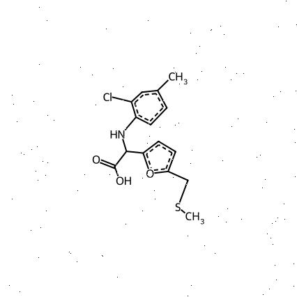 CSCc1ccc(C(Nc2ccc(C)cc2Cl)C(=O)O)o1